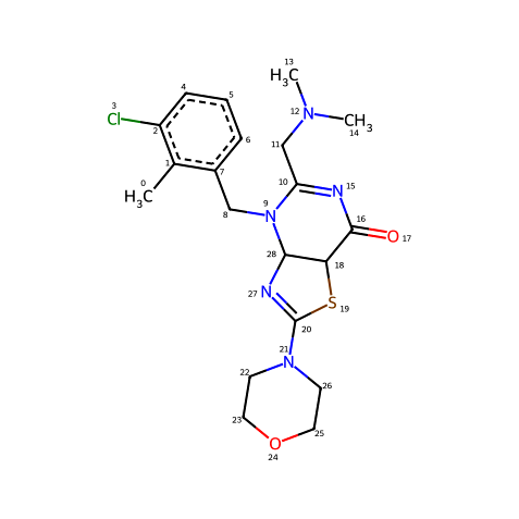 Cc1c(Cl)cccc1CN1C(CN(C)C)=NC(=O)C2SC(N3CCOCC3)=NC21